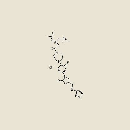 CC(=O)O[C@H](CC(=O)N1CCN(c2ccc(N3CC(COc4ccon4)OC3=O)cc2F)CC1)C[N+](C)(C)C.[Cl-]